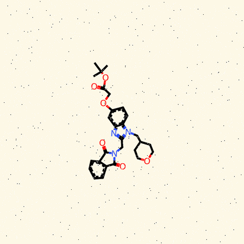 CC(C)(C)OC(=O)COc1ccc2c(c1)nc(CN1C(=O)c3ccccc3C1=O)n2CC1CCOCC1